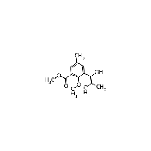 COC(=O)c1cc(C)cc(C(O)C(C)C)c1OC